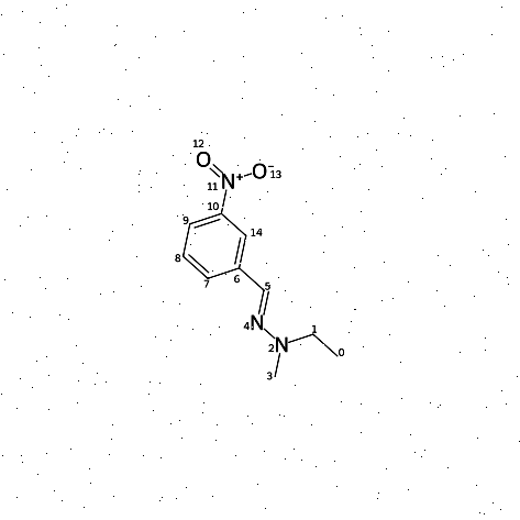 CCN(C)N=Cc1cccc([N+](=O)[O-])c1